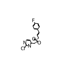 O=S(=O)(CC=Cc1ccc(F)cc1)Cc1ccnc(Cl)n1